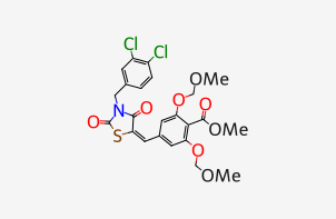 COCOc1cc(C=C2SC(=O)N(Cc3ccc(Cl)c(Cl)c3)C2=O)cc(OCOC)c1C(=O)OC